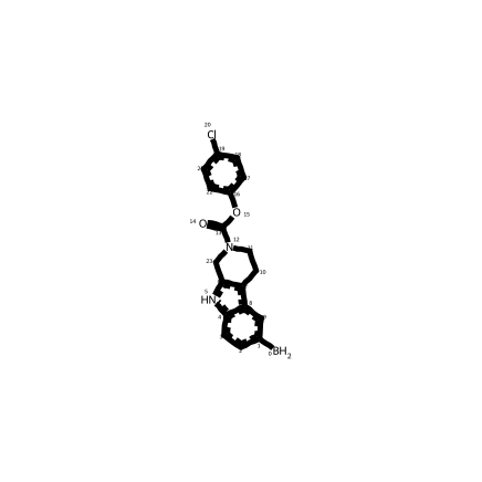 Bc1ccc2[nH]c3c(c2c1)CCN(C(=O)Oc1ccc(Cl)cc1)C3